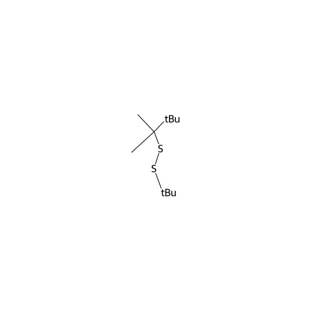 CC(C)(C)SSC(C)(C)C(C)(C)C